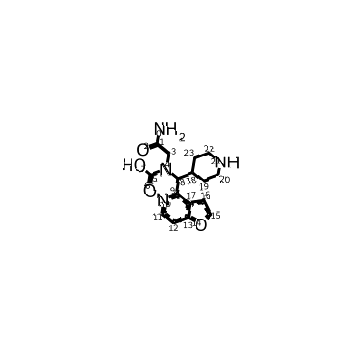 NC(=O)CN(C(=O)O)C(c1nccc2occc12)C1CCNCC1